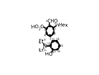 CCCCCCc1cccc(C(=O)O)c1C=O.CCN(CC)c1ccccc1O